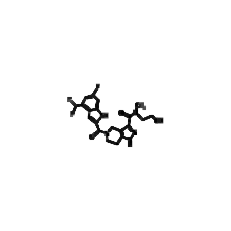 CN(CCO)C(=O)c1n[nH]c2c1CN(C(=O)c1cc3c(C(F)F)cc(F)cc3[nH]1)CC2